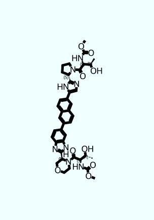 COC(=O)N[C@H](C(=O)N1CCC[C@H]1c1ncc(-c2ccc3cc(-c4ccc5nc([C@@H]6COCCN6C(=O)[C@@H](NC(=O)OC)[C@@H](C)O)[nH]c5c4)ccc3c2)[nH]1)[C@@H](C)O